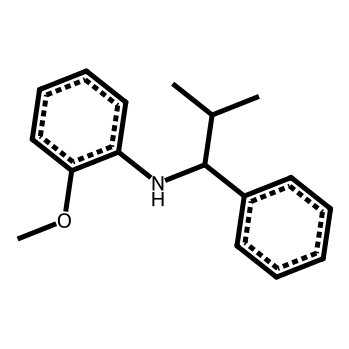 COc1ccccc1NC(c1ccccc1)C(C)C